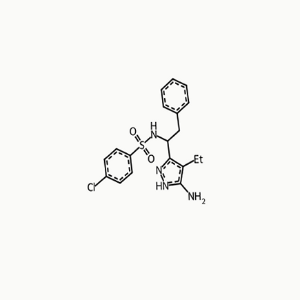 CCc1c(C(Cc2ccccc2)NS(=O)(=O)c2ccc(Cl)cc2)n[nH]c1N